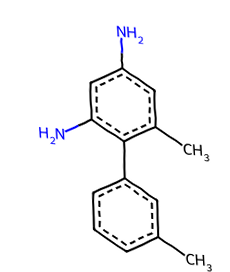 Cc1cccc(-c2c(C)cc(N)cc2N)c1